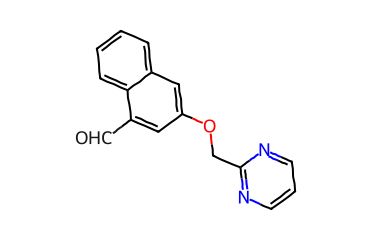 O=Cc1cc(OCc2ncccn2)cc2ccccc12